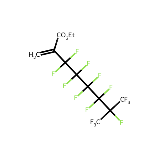 C=C(C(=O)OCC)C(F)(F)C(F)(F)C(F)(F)C(F)(F)C(F)(C(F)(F)F)C(F)(F)F